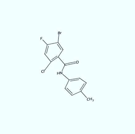 Cc1ccc(NC(=O)c2cc(Br)c(F)cc2Cl)cc1